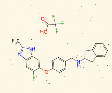 Fc1cc2nc(C(F)(F)F)[nH]c2cc1Oc1ccc(CNC2Cc3ccccc3C2)cc1.O=C(O)C(F)(F)F